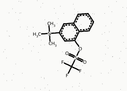 C[Si](C)(C)c1cc(OS(=O)(=O)C(F)(F)F)c2ccccc2c1